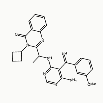 COc1cccc(C(=N)c2c(N)ncnc2NC(C)c2nc3ccccc3c(=O)n2C2CCC2)c1